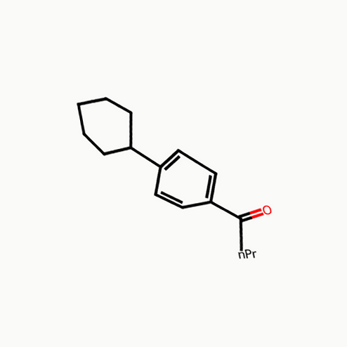 CCCC(=O)c1ccc(C2CCCCC2)cc1